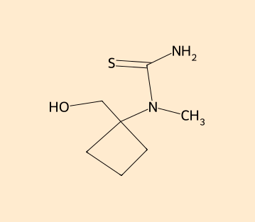 CN(C(N)=S)C1(CO)CCC1